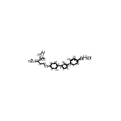 CCCCCCc1ccc(-c2ccc(-c3ccc(OCCC(CCCC)[SiH](C)C)cc3)s2)cc1